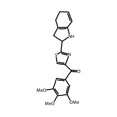 COc1cc(C(=O)c2csc(C3CC4=C(C=CCC4)N3)n2)cc(OC)c1OC